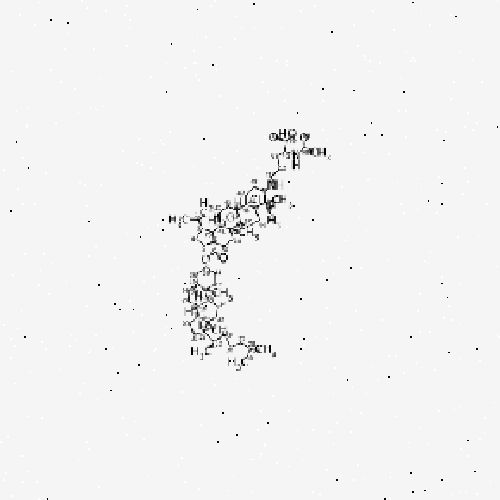 C=C(C)[C@@H]1CC[C@]2(C(=O)O[C@@H]3CC[C@@]4(C)C(=CC[C@H]5[C@@H]6CC[C@H]([C@H](C)CCCC(C)C)[C@@]6(C)CC[C@@H]54)C3)CC[C@]3(C)[C@H](CC[C@@H]4[C@@]5(C)CCC(NCCCC(NC(C)=O)C(=O)O)C(C)(C)C5CC[C@]43C)C12